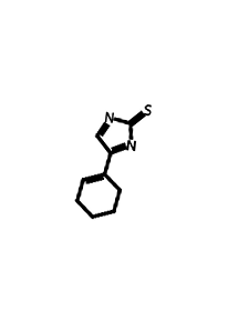 S=C1N=CC(C2=CCCCC2)=N1